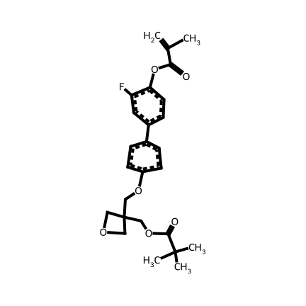 C=C(C)C(=O)Oc1ccc(-c2ccc(OCC3(COC(=O)C(C)(C)C)COC3)cc2)cc1F